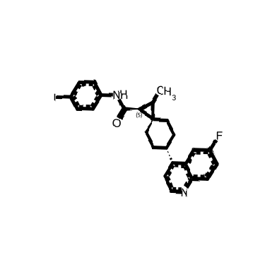 CC1[C@H](C(=O)Nc2ccc(I)cc2)[C@]12CC[C@@H](c1ccnc3ccc(F)cc31)CC2